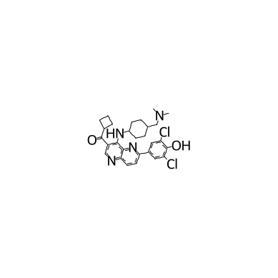 CN(C)CC1CCC(Nc2c(C(=O)C3CCC3)cnc3ccc(-c4cc(Cl)c(O)c(Cl)c4)nc23)CC1